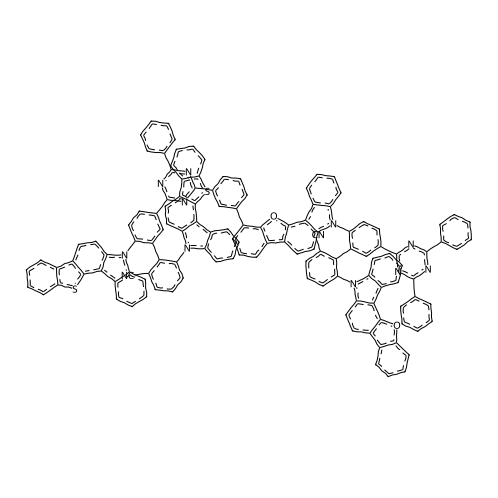 N#Cc1cccc(-n2c3ccccc3c3c4oc5ccccc5c4ccc32)c1-c1cc(-c2nc(-c3ccccc3)nc(-c3ccccc3)n2)ccc1-n1c2ccccc2c2c3oc4c(-c5cccc(-c6nc(-c7ccccc7)nc(-c7ccc(-n8c9ccccc9c9c%10sc%11ccccc%11c%10ccc98)c(-c8c(C#N)cccc8-n8c9ccccc9c9c%10sc%11ccccc%11c%10ccc98)c7)n6)c5)cccc4c3ccc21